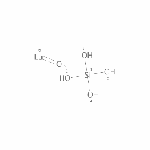 O[Si](O)(O)O.[O]=[Lu]